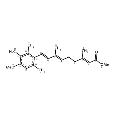 COC(=O)/C=C(\C)CC/C=C(C)/C=C/c1c(C)cc(OC)c(C)c1C